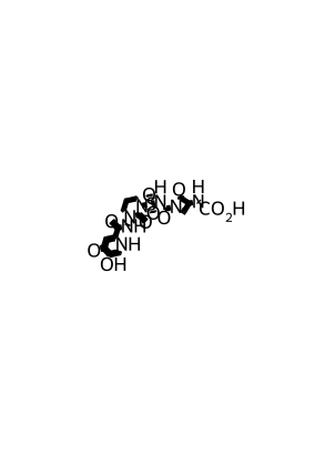 O=C(O)NC1CN(C(=O)NS(=O)(=O)N2CCCN(NC(=O)c3cc(=O)c(O)c[nH]3)C2=O)C1=O